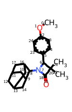 COc1ccc(C2N(C3C4CC5CC(C4)CC3C5)C(=O)C2(C)C)cc1